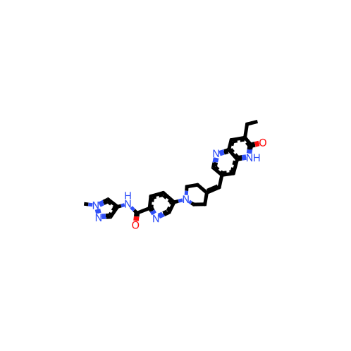 CCc1cc2ncc(C=C3CCN(c4ccc(C(=O)Nc5cnn(C)c5)nc4)CC3)cc2[nH]c1=O